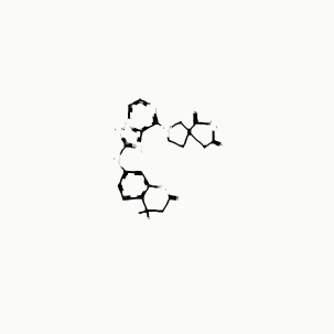 CC1(C)CC(=O)Nc2cc(Nc3nc4c(N5CCC6(CC(=O)NC6=O)C5)nccn4n3)ccc21